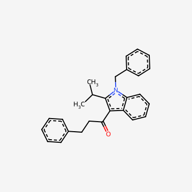 CC(C)c1c(C(=O)CCc2ccccc2)c2ccccc2n1Cc1ccccc1